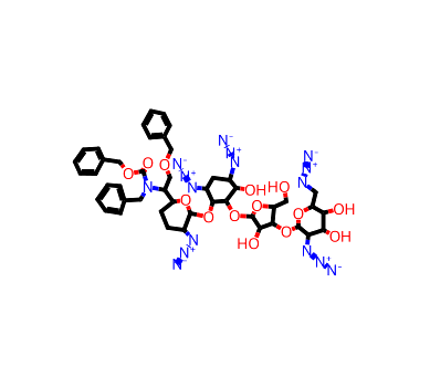 [N-]=[N+]=NCC1OC(OC2C(CO)OC(OC3C(O)C(N=[N+]=[N-])CC(N=[N+]=[N-])C3OC3OC(C(COCc4ccccc4)N(Cc4ccccc4)C(=O)OCc4ccccc4)CCC3N=[N+]=[N-])C2O)C(N=[N+]=[N-])C(O)C1O